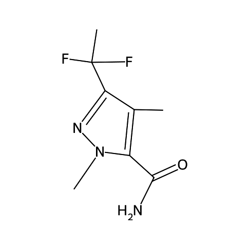 Cc1c(C(C)(F)F)nn(C)c1C(N)=O